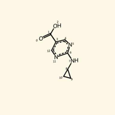 O=C(O)c1cnc(NC2CC2)nc1